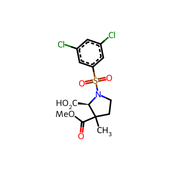 COC(=O)C1(C)CCN(S(=O)(=O)c2cc(Cl)cc(Cl)c2)[C@@H]1C(=O)O